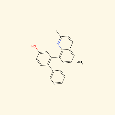 Cc1ccc2cccc(-c3cc(O)ccc3-c3ccccc3)c2n1.[AlH3]